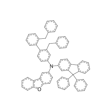 c1ccc(Cc2ccccc2-c2ccc(N(c3ccc4c(c3)C(c3ccccc3)(c3ccccc3)c3ccccc3-4)c3ccc4oc5ccccc5c4c3)cc2Cc2ccccc2)cc1